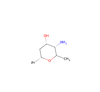 CC(C)[C@@H]1C[C@H](O)[C@H](N)C(C)O1